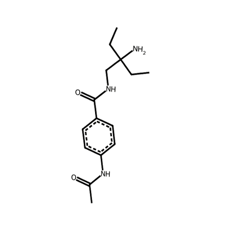 CCC(N)(CC)CNC(=O)c1ccc(NC(C)=O)cc1